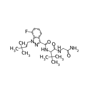 CC(C)(C)CCn1nc(C(=O)NC(C(=O)NCC(N)=O)C(C)(C)C)c2cccc(F)c21